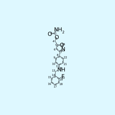 NC(=O)OCc1cc(-c2ccc(NCc3ccccc3F)cc2)no1